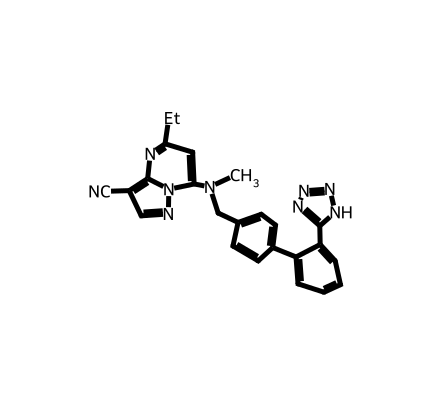 CCc1cc(N(C)Cc2ccc(-c3ccccc3-c3nnn[nH]3)cc2)n2ncc(C#N)c2n1